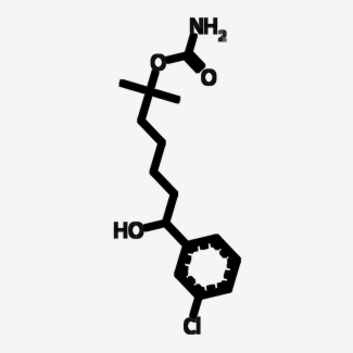 CC(C)(CCCCC(O)c1cccc(Cl)c1)OC(N)=O